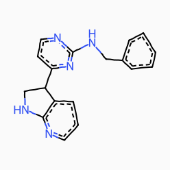 c1ccc(CNc2nccc(C3CNc4ncccc43)n2)cc1